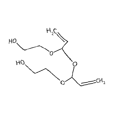 C=CC(OCCO)OC(C=C)OCCO